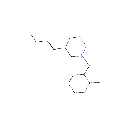 CCCCC1CCCN(CC2CCCCC2C)C1